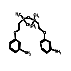 C[Si](C)(CCOc1cccc(N)c1)O[Si](C)(C)CCOc1cccc(N)c1